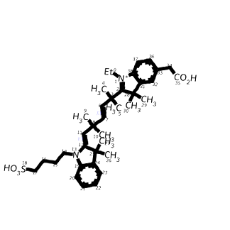 CC[N+]1=C(C(C)(C)/C=C/C(C)(C)/C=C2/N(CCCCS(=O)(=O)O)c3ccccc3C2(C)C)C(C)(C)c2cc(CC(=O)O)ccc21